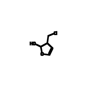 OC1OC=CC1CCl